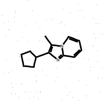 Cc1c(C2CCCC2)nc2ccccn12